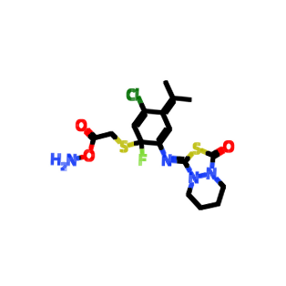 CC(C)=C1C=C(N=c2sc(=O)n3n2CCCC3)C(F)(SCC(=O)ON)C=C1Cl